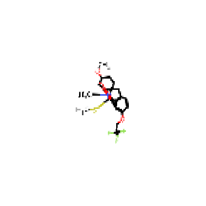 COC1CCC2(CC1)Cc1ccc(OCC(F)(F)F)cc1C21N=C(SC)N(C)C1=O